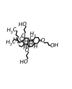 CCCC[C@@H](C)[C@H]1CC[C@H]2[C@@H]3[C@H](OCCCO)C[C@@H]4C[C@H](OCCCO)CC[C@]4(C)[C@H]3C[C@H](OCCCO)[C@]12C